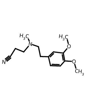 COc1ccc(CCN(C)CCC#N)cc1OC